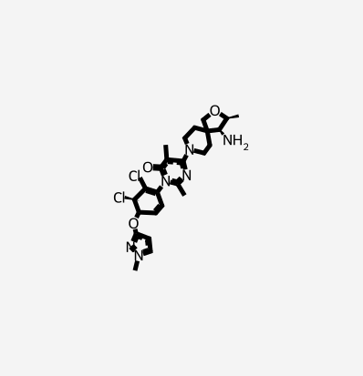 Cc1c(N2CCC3(CC2)CO[C@@H](C)[C@H]3N)nc(C)n(C2=C(Cl)[C@H](Cl)C(Oc3ccn(C)n3)C=C2)c1=O